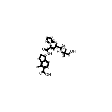 Cc1c(C(=O)O)ccc2c1CC[C@@H]2NC(=O)c1cc(C(=O)NC(C)(C)CO)nc2ccnn12